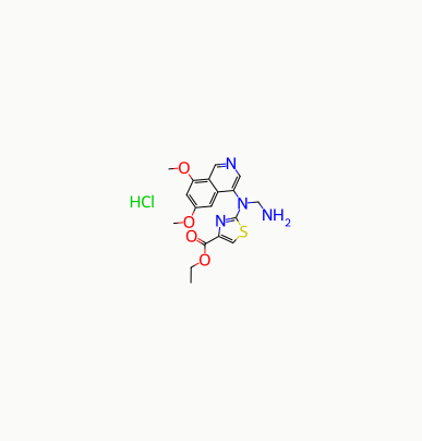 CCOC(=O)c1csc(N(CN)c2cncc3c(OC)cc(OC)cc23)n1.Cl